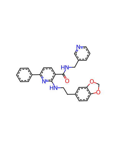 O=C(NCc1cccnc1)c1ccc(-c2ccccc2)nc1NCCc1ccc2c(c1)OCO2